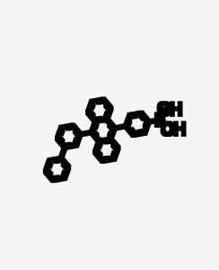 OB(O)c1ccc(-c2c3ccccc3c(-c3cccc(-c4ccccc4)c3)c3ccccc23)cc1